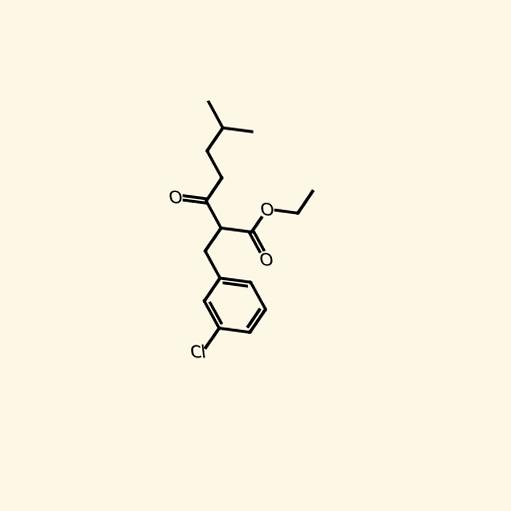 CCOC(=O)C(Cc1cccc(Cl)c1)C(=O)CCC(C)C